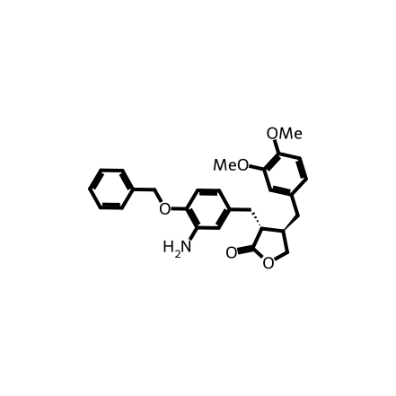 COc1ccc(C[C@H]2COC(=O)[C@@H]2Cc2ccc(OCc3ccccc3)c(N)c2)cc1OC